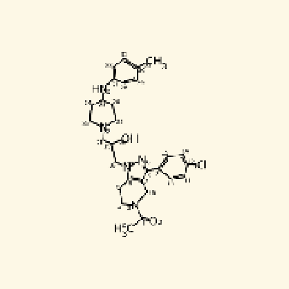 CC(=O)N1CCc2c(c(-c3ccc(Cl)cc3)nn2CC(O)CN2CCC(Nc3ccc(C)cc3)CC2)C1